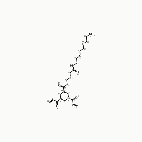 C=CC(=O)N1CN(C(=O)C=C)CN(C(=O)CCSCC(=O)NCCOCCOCCN)C1